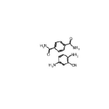 N#Cc1cc(N)ccc1N.NC(=O)c1ccc(C(N)=O)cc1